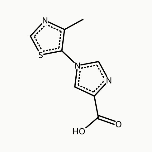 Cc1ncsc1-n1cnc(C(=O)O)c1